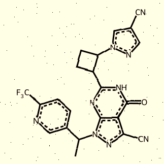 CC(c1ccc(C(F)(F)F)nc1)n1nc(C#N)c2c(=O)[nH]c(C3CCC3n3cc(C#N)cn3)nc21